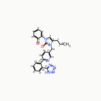 CCCc1cn(-c2ccccc2Br)c(=O)n1Cc1ccc(-c2ccccc2-c2nnn[nH]2)nc1